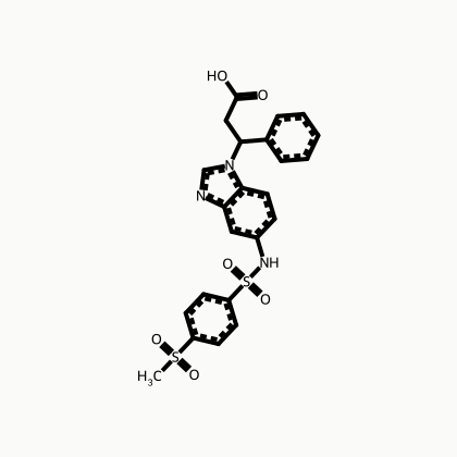 CS(=O)(=O)c1ccc(S(=O)(=O)Nc2ccc3c(c2)ncn3C(CC(=O)O)c2ccccc2)cc1